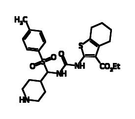 CCOC(=O)c1c(NC(=O)NC(C2CCNCC2)S(=O)(=O)c2ccc(C)cc2)sc2c1CCCC2